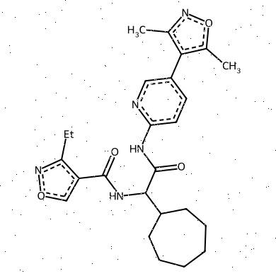 CCc1nocc1C(=O)NC(C(=O)Nc1ccc(-c2c(C)noc2C)cn1)C1CCCCCC1